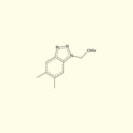 COCn1nnc2cc(C)c(C)cc21